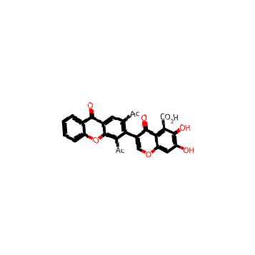 CC(=O)c1cc2c(=O)c3ccccc3oc2c(C(C)=O)c1-c1coc2cc(O)c(O)c(C(=O)O)c2c1=O